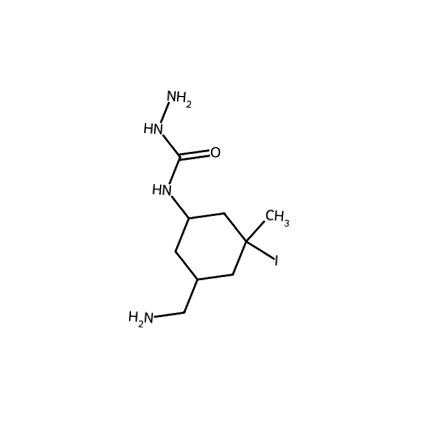 CC1(I)CC(CN)CC(NC(=O)NN)C1